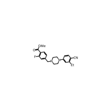 CCc1cc(N2CCN(Cc3ccc(C(=O)OC)c(F)c3)CC2)ccc1C#N